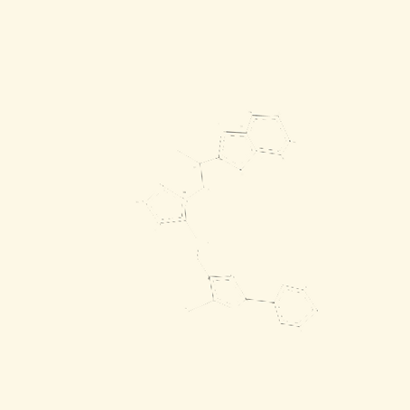 Cc1oc(-c2ccccc2)nc1COc1nnnn1CC(C)c1cc2ccccc2o1